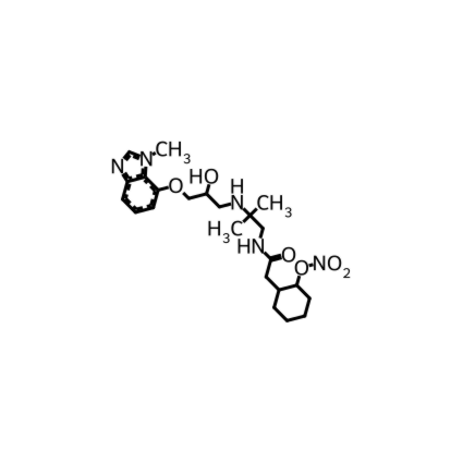 Cn1cnc2cccc(OCC(O)CNC(C)(C)CNC(=O)CC3CCCCC3O[N+](=O)[O-])c21